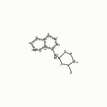 CC1CC(Nc2nncc3ccncc23)CCO1